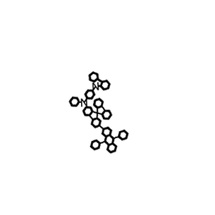 c1ccc(-c2c3ccccc3c(-c3ccccc3)c3cc(-c4ccc5c(c4)C4(c6ccccc6-c6ccccc64)c4cc(N(c6ccccc6)c6ccc(-n7c8ccccc8c8ccccc87)cc6)ccc4-5)ccc23)cc1